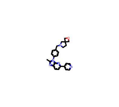 Cc1nc2ccc(-c3ccncc3)nc2n1-c1ccc(CN2CCC3(COC3)C2)cc1